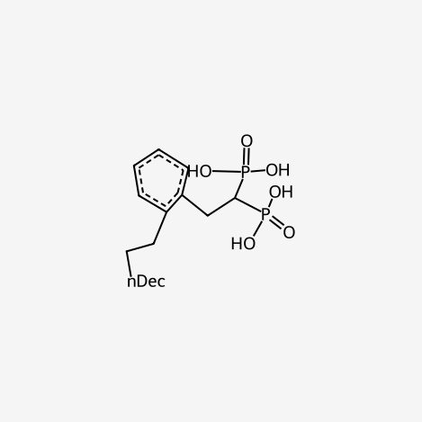 CCCCCCCCCCCCc1ccccc1CC(P(=O)(O)O)P(=O)(O)O